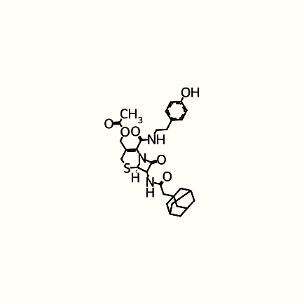 CC(=O)OCC1=C(C(=O)NCCc2ccc(O)cc2)N2C(=O)[C@@H](NC(=O)CC34CC5CC(CC(C5)C3)C4)[C@H]2SC1